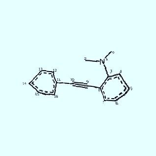 CN(C)c1ccccc1C#Cc1ccccc1